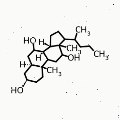 CCCC(C)C1CC[C@H]2[C@H]3C(O)C[C@@H]4C[C@H](O)CCC4(C)C3CC(O)C12C